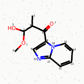 COC(O)C(C)C(=O)c1cnc2ccccn12